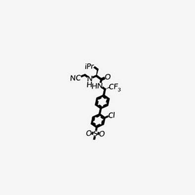 CC(C)C[C@H](NCC#N)C(=O)N[C@@H](c1ccc(-c2ccc(S(C)(=O)=O)cc2Cl)cc1)C(F)(F)F